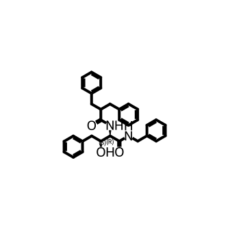 O=C(N[C@@H](C(=O)NCc1ccccc1)[C@@H](O)Cc1ccccc1)C(Cc1ccccc1)Cc1ccccc1